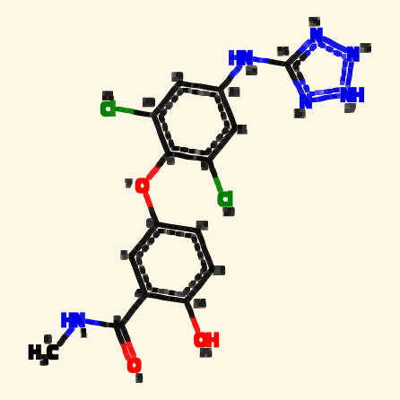 CNC(=O)c1cc(Oc2c(Cl)cc(Nc3nn[nH]n3)cc2Cl)ccc1O